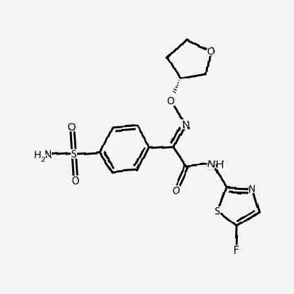 NS(=O)(=O)c1ccc(/C(=N\O[C@@H]2CCOC2)C(=O)Nc2ncc(F)s2)cc1